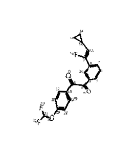 O=C(C(=O)c1cccc(C(F)=CC2CC2)c1)c1ccc(OC(F)F)cc1